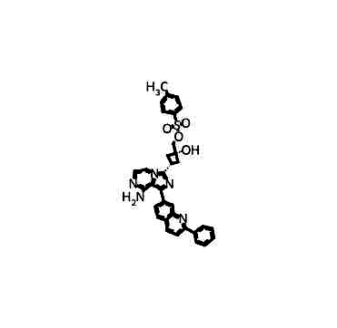 Cc1ccc(S(=O)(=O)OC[C@]2(O)C[C@@H](c3nc(-c4ccc5ccc(-c6ccccc6)nc5c4)c4c(N)nccn43)C2)cc1